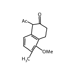 COc1c(C)ccc2c1CCC(=O)C2C(C)=O